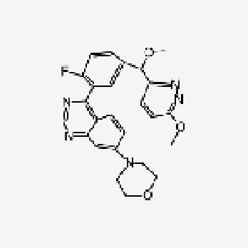 COc1ccc(C(OC)c2ccc(F)c(-c3ncnc4cc(N5CCOCC5)ccc34)c2)nn1